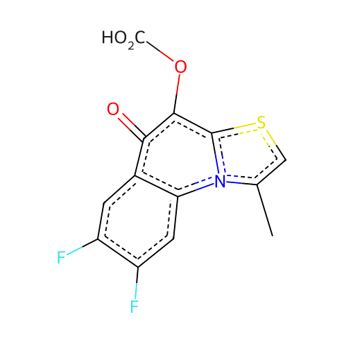 Cc1csc2c(OC(=O)O)c(=O)c3cc(F)c(F)cc3n12